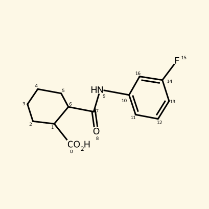 O=C(O)C1CCCCC1C(=O)Nc1cccc(F)c1